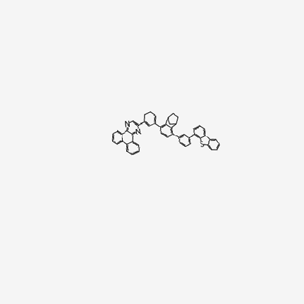 C1=C(c2cnc3c4ccccc4c4ccccc4c3n2)CCC=C1c1ccc(-c2cccc(-c3cccc4c3sc3ccccc34)c2)c2c1C1CCC2C1